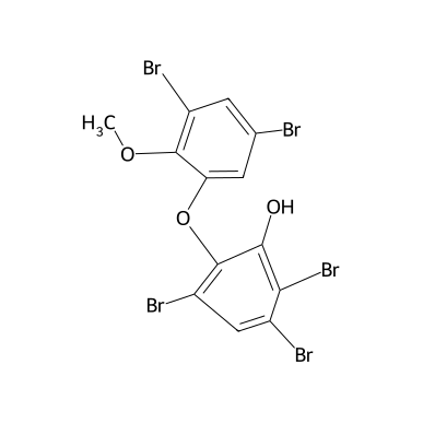 COc1c(Br)cc(Br)cc1Oc1c(Br)cc(Br)c(Br)c1O